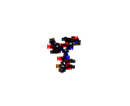 CCCCOC1C(OCCCC)[C@H](C(O)N2CCS[C@H]2S)C=CC1[C@H](O)NCCN(CCNC(=O)[C@@H]1CC[C@H]([C@@H](O)N2CCSC2)C(OCCCC)C1OCCCC)CCN[C@@H](O)[C@H]1C=C[C@@H]([C@@H](O)N2CCSC2)C(OCCCC)C1OCCCC